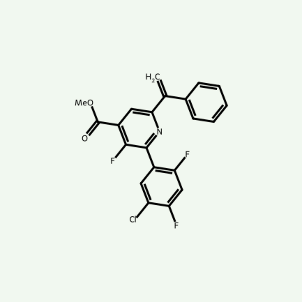 C=C(c1ccccc1)c1cc(C(=O)OC)c(F)c(-c2cc(Cl)c(F)cc2F)n1